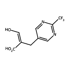 O=C(O)C(=CO)Cc1cnc(C(F)(F)F)nc1